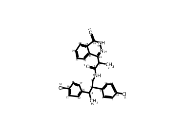 CC(C(=O)NCC(c1ccc(Cl)cc1)C(C)c1ccc(Cl)cc1)c1n[nH]c(=O)c2ccccc12